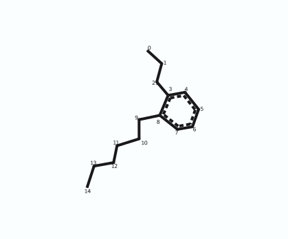 CC[CH]c1ccccc1CCCCCC